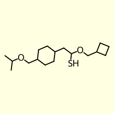 CC(C)OCC1CCC(CC(S)OCC2CCC2)CC1